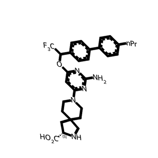 CCCc1ccc(-c2ccc(C(Oc3cc(N4CCC5(CC4)CN[C@H](C(=O)O)C5)nc(N)n3)C(F)(F)F)cc2)cc1